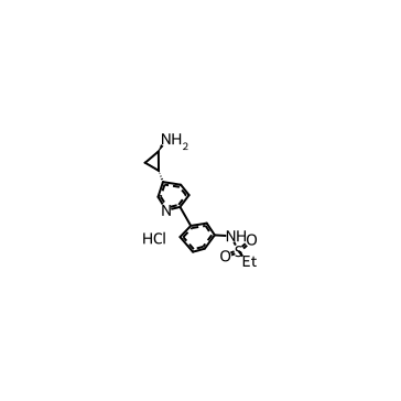 CCS(=O)(=O)Nc1cccc(-c2ccc([C@@H]3C[C@H]3N)cn2)c1.Cl